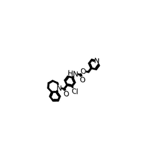 O=C(Nc1ccc(C(=O)N2CCCCc3ccccc32)c(Cl)c1)OCc1ccncc1